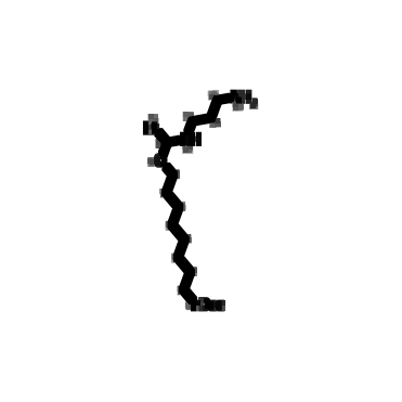 CCCCCCCCCCCCCCCCCCOC(CC)NCCCN